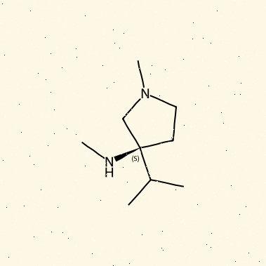 CN[C@]1(C(C)C)CCN(C)C1